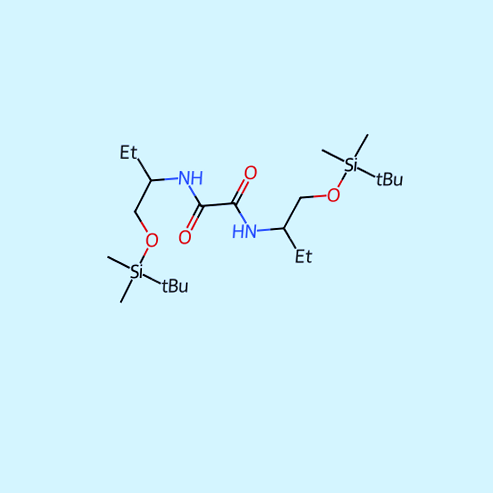 CCC(CO[Si](C)(C)C(C)(C)C)NC(=O)C(=O)NC(CC)CO[Si](C)(C)C(C)(C)C